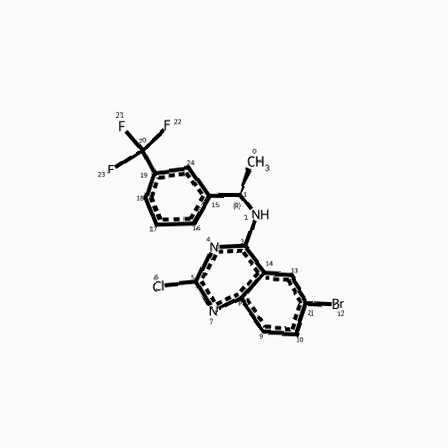 C[C@@H](Nc1nc(Cl)nc2ccc(Br)cc12)c1cccc(C(F)(F)F)c1